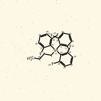 CCC[CH2][Sn]([c]1c(F)cccc1F)([c]1c(F)cccc1F)[c]1c(F)cccc1F